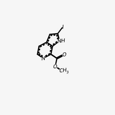 COC(=O)c1nccc2cc(I)[nH]c12